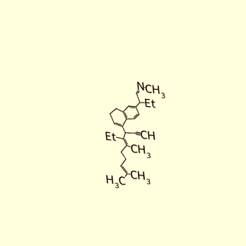 C#CC(C1=CCCc2cc(C(/C=N\C)CC)ccc21)/C(CC)=C(\C)CCC=C(C)C